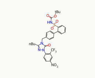 CCCCc1nn(-c2ccc([N+](=O)[O-])cc2C(F)(F)F)c(=O)n1Cc1ccc(-c2ccccc2S(=O)(=O)NC(=O)OC(C)(C)C)cc1